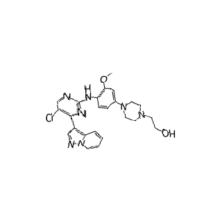 COc1cc(N2CCN(CCO)CC2)ccc1Nc1ncc(Cl)c(-c2cnn3ccccc23)n1